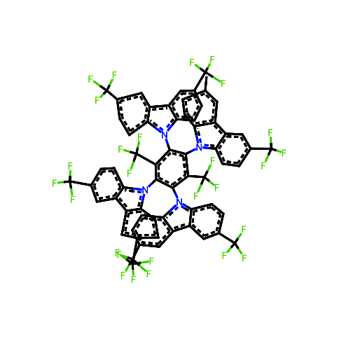 Cc1ccc2c(c1)c1cc(C(F)(F)F)ccc1n2-c1c(-n2c3ccc(C(F)(F)F)cc3c3cc(C(F)(F)F)ccc32)c(C(F)(F)F)c(-n2c3ccc(C(F)(F)F)cc3c3cc(C(F)(F)F)ccc32)c(-n2c3ccc(C(F)(F)F)cc3c3cc(C(F)(F)F)ccc32)c1C(F)(F)F